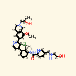 COc1cc(-c2nccc(-c3cccc(NC(=O)c4ccc(CNCCO)cn4)c3C)c2Cl)cc2c1CN(C[C@@H](C)O)CC2